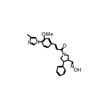 COc1cc(C=CC(=O)N2CC(C=NO)C(c3ccccc3)C2)ccc1-n1cnc(C)c1